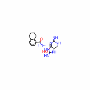 N=C1NC2CNC(=N)N3C[C@H](NC(=O)c4cccc5c4CCCC5)C(O)[C@]23N1